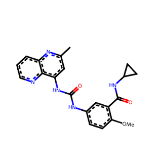 COc1ccc(NC(=O)Nc2cc(C)nc3cccnc23)cc1C(=O)NC1CC1